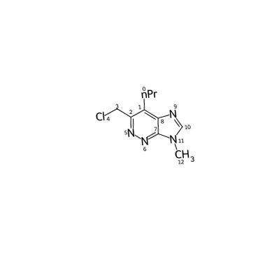 CCCc1c(CCl)nnc2c1ncn2C